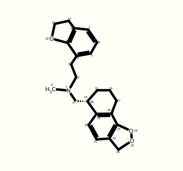 CN(CCc1cccc2c1OCC2)C[C@@H]1CCCc2c1ccc1c2OOC1